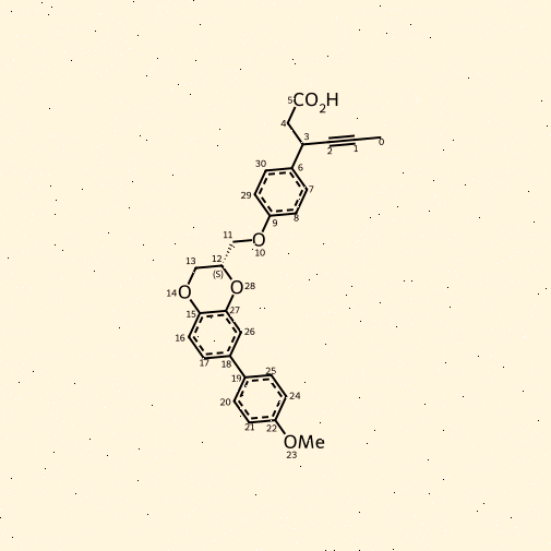 CC#CC(CC(=O)O)c1ccc(OC[C@H]2COc3ccc(-c4ccc(OC)cc4)cc3O2)cc1